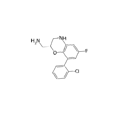 NC[C@@H]1CNc2cc(F)cc(-c3ccccc3Cl)c2O1